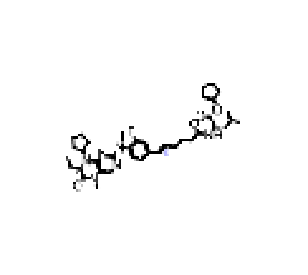 CC[C@@H]1C(=O)N(C)c2cnc(Nc3ccc(/C=C/CCCC(=O)N[C@@H](CC(C)C)C(=O)OC4CCCC4)cc3F)nc2N1C1CCCC1